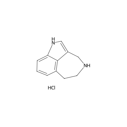 Cl.c1cc2c3c(c[nH]c3c1)CNCC2